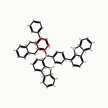 c1ccc(-c2ccc(N(c3ccc(-c4cccc5c4oc4ccccc45)cc3)c3cccc4c3oc3ccccc34)c3c2C2c4ccccc4C3c3ccccc32)cc1